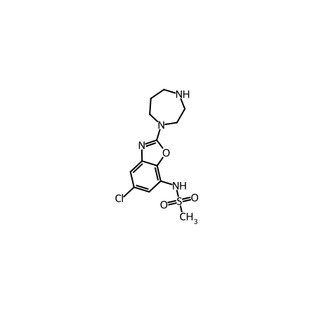 CS(=O)(=O)Nc1cc(Cl)cc2nc(N3CCCNCC3)oc12